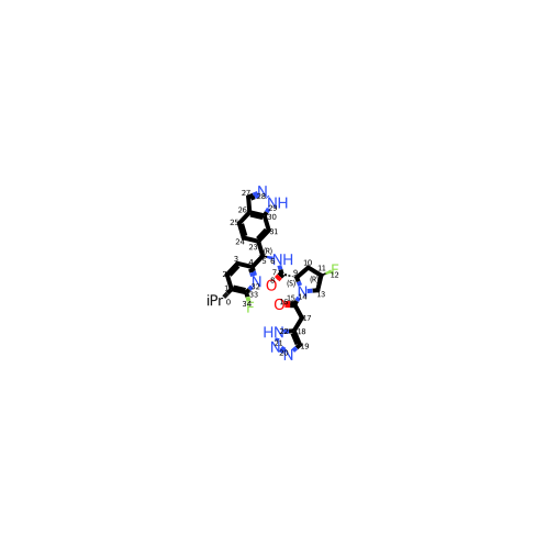 CC(C)c1ccc([C@H](NC(=O)[C@@H]2C[C@@H](F)CN2C(=O)Cc2cnn[nH]2)c2ccc3cn[nH]c3c2)nc1F